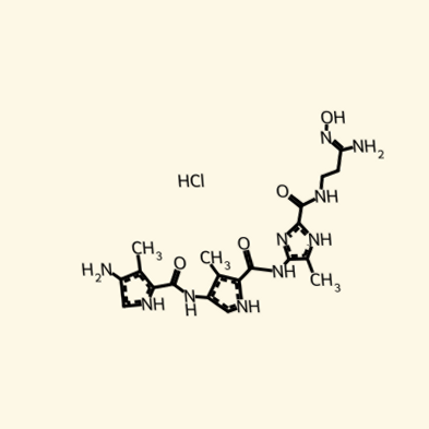 Cc1[nH]c(C(=O)NCCC(N)=NO)nc1NC(=O)c1[nH]cc(NC(=O)c2[nH]cc(N)c2C)c1C.Cl